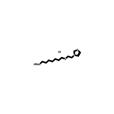 CCCCCCCCCCCCCCCCSCCN1C=CSC1.I